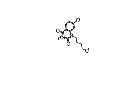 O=c1[nH]c(=O)n(CCCCCl)c2cc(Cl)ccc12